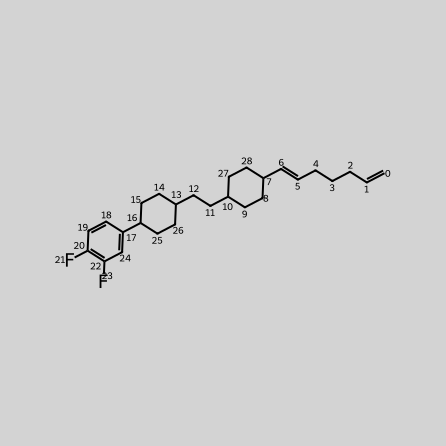 C=CCCC/C=C/C1CCC(CCC2CCC(c3ccc(F)c(F)c3)CC2)CC1